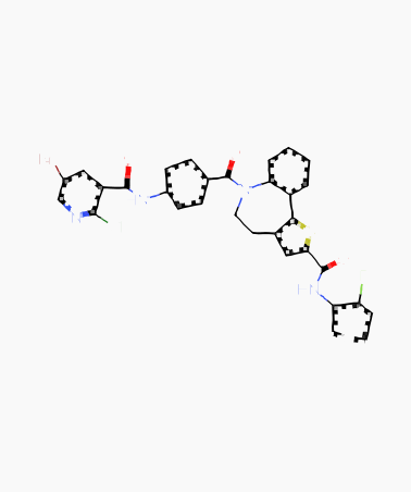 O=C(Nc1ccccc1F)c1cc2c(s1)-c1ccccc1N(C(=O)c1ccc(NC(=O)c3cc(Br)cnc3Cl)cc1)CC2